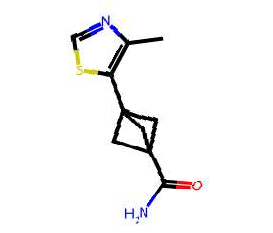 Cc1ncsc1C12CC(C(N)=O)(C1)C2